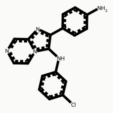 Nc1ccc(-c2nc3cnccn3c2Nc2cccc(Cl)c2)cc1